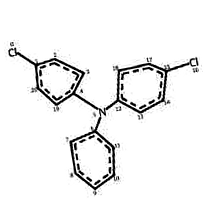 Clc1ccc(N(c2ccccc2)c2ccc(Cl)cc2)cc1